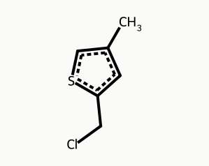 Cc1csc(CCl)c1